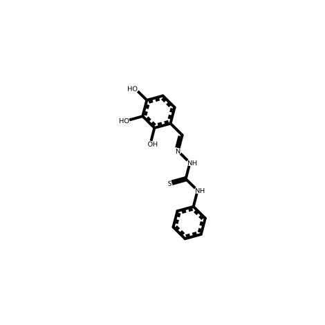 Oc1ccc(/C=N/NC(=S)Nc2ccccc2)c(O)c1O